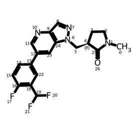 CN1CC[C@H](Cn2ncc3ncc(-c4ccc(F)c(C(F)F)c4)cc32)C1=O